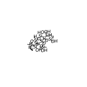 C=C[Si](C)(C)O[Si](C)(C)O[Si](O[Si](C)(C)O)([Si]([SiH3])(OC)[SiH2]O)[Si](O[SiH2]O)([SiH2]O)[SiH2]O